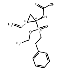 C=C[C@@H]1C[C@]1(NC(=O)O)[P@](=O)(CCc1ccccc1)OCC